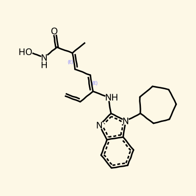 C=C/C(=C\C=C(/C)C(=O)NO)Nc1nc2ccccc2n1C1CCCCCC1